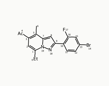 CCc1cc(C(C)=O)c(C)c2cc(-c3ccc(Br)cc3F)nn12